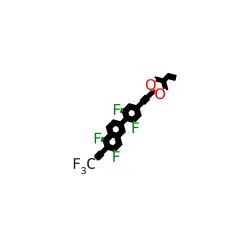 C=CC1COC(C#Cc2cc(F)c(-c3ccc4c(F)c(C#CC(F)(F)F)c(F)cc4c3)c(F)c2)OC1